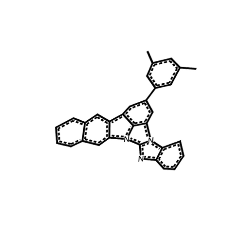 Cc1cc(C)cc(-c2cc3c4cc5ccccc5cc4n4c3c(c2)n2c3ccccc3nc24)c1